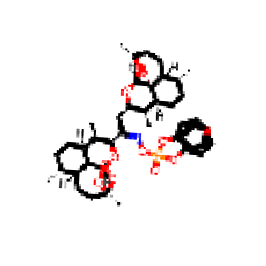 C[C@H]1[C@@H](/C(C[C@H]2O[C@@H]3O[C@]4(C)CC[C@H]5[C@H](C)CC[C@@H]([C@H]2C)[C@@]35OO4)=N\OP(=O)(Oc2ccccc2)Oc2ccccc2)O[C@@H]2O[C@]3(C)CC[C@H]4[C@H](C)CC[C@@H]1[C@@]24OO3